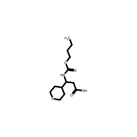 CCCCOC(=O)NC(CC(=O)O)C1CCOCC1